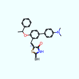 B=c1[nH]c(=O)/c(=C\c2cc(-c3ccc(N(C)C)cc3)ccc2OC(C)c2ccccc2)s1